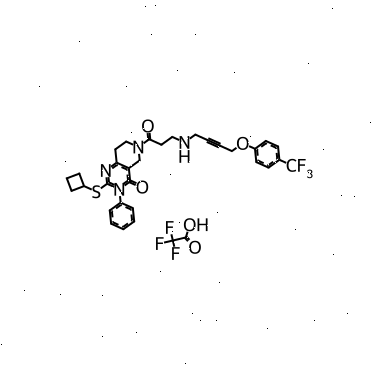 O=C(CCNCC#CCOc1ccc(C(F)(F)F)cc1)N1CCc2nc(SC3CCC3)n(-c3ccccc3)c(=O)c2C1.O=C(O)C(F)(F)F